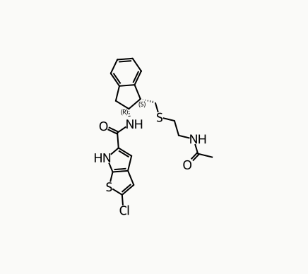 CC(=O)NCCSC[C@H]1c2ccccc2C[C@H]1NC(=O)c1cc2cc(Cl)sc2[nH]1